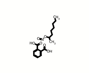 CCCCCCC(C)ON=O.O=C(O)c1ccccc1C(=O)O